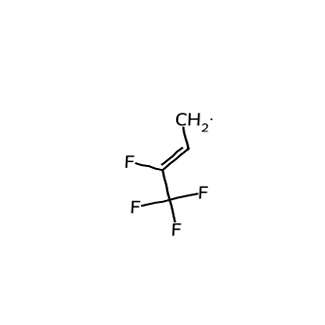 [CH2]C=C(F)C(F)(F)F